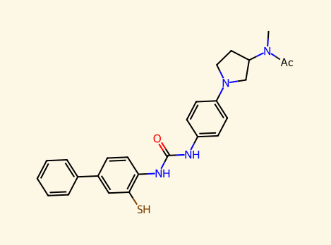 CC(=O)N(C)C1CCN(c2ccc(NC(=O)Nc3ccc(-c4ccccc4)cc3S)cc2)C1